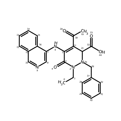 CCN1C(=O)C(Nc2cncc3ccccc23)=C(C(C)=O)C(C(=O)O)N1Cc1ccccc1